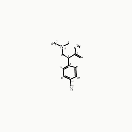 C=C(C(C)C)[C@H](CN(C)C(C)C)c1ccc(Cl)cc1